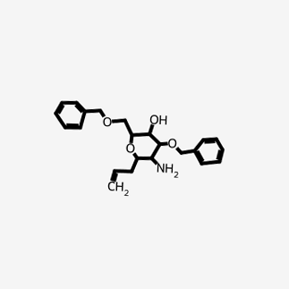 C=CCC1OC(COCc2ccccc2)C(O)C(OCc2ccccc2)C1N